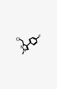 Cn1cc(-c2ccc(F)cc2)c(CCl)n1